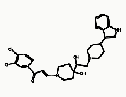 O=C(C=CN1CCC(O)(C(O)CN2CCC(c3c[nH]c4ccccc34)CC2)CC1)c1ccc(Cl)c(Cl)c1